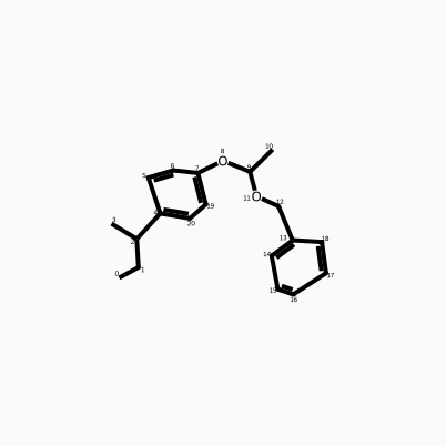 CCC(C)c1ccc(OC(C)OCc2ccccc2)cc1